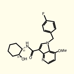 COc1ccnc2c(C(=O)N[C@H]3CCCC[C@@H]3O)cn(Cc3ccc(F)cc3)c12